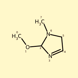 COC1N=[C]CN1C